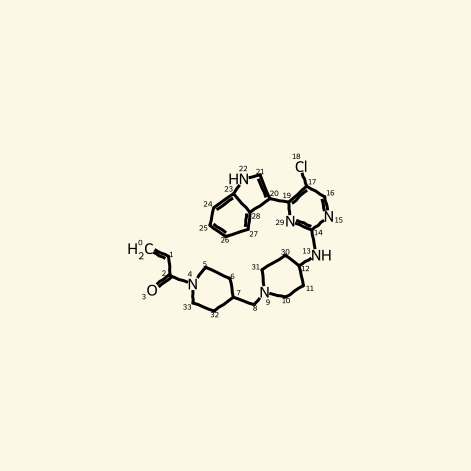 C=CC(=O)N1CCC(CN2CCC(Nc3ncc(Cl)c(-c4c[nH]c5ccccc45)n3)CC2)CC1